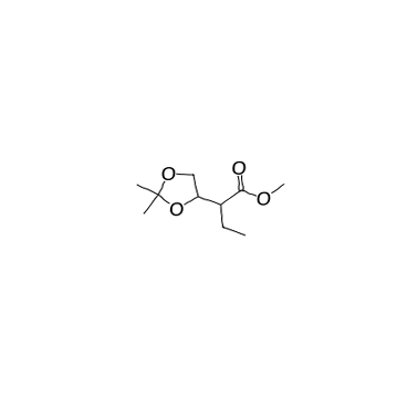 CCC(C(=O)OC)C1COC(C)(C)O1